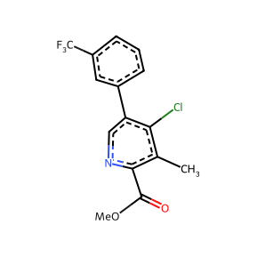 COC(=O)c1ncc(-c2cccc(C(F)(F)F)c2)c(Cl)c1C